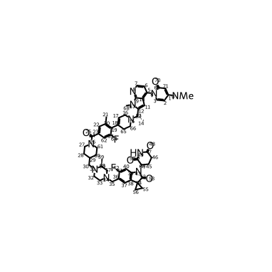 CNc1ccn(-c2ccnc3c2cc([C@H](C)N2CC=C(c4c(C)cc(C(=O)N5CCC(CN6CCN(Cc7cc8c(cc7F)N([C@H]7CCC(=O)NC7=O)C(=O)C87CC7)C[C@@H]6C)CC5)cc4F)CC2)n3C)c(=O)c1